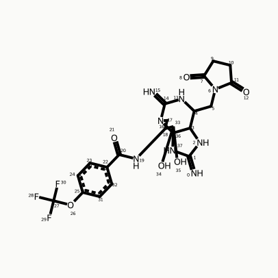 N=C1NC2C(CN3C(=O)CCC3=O)NC(=N)N3CC(NC(=O)c4ccc(OC(F)(F)F)cc4)C(O)(O)C23N1